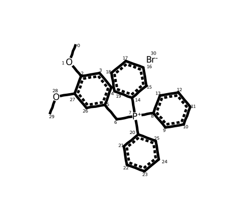 COc1ccc(C[P+](c2ccccc2)(c2ccccc2)c2ccccc2)cc1OC.[Br-]